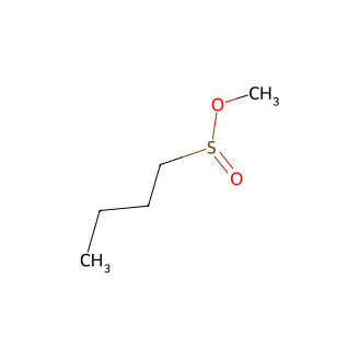 CCCCS(=O)OC